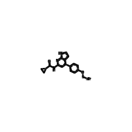 CCCSOc1ccc(-c2cc(NC(=O)C3CC3)nc3[nH]ccc23)cc1